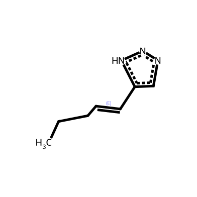 CCC/C=C/c1cnn[nH]1